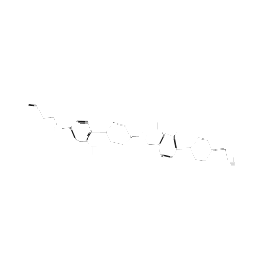 C=CCCOc1ccc(C2CCC(OCc3ccc(C4CCC(C(O)CCC)CC4)c(F)c3F)CC2)c(F)c1